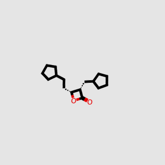 O=C1O[C@H](CCC2CCCC2)[C@@H]1CC1CCCC1